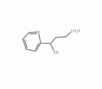 N#CC(CCC(=O)O)c1ccccn1